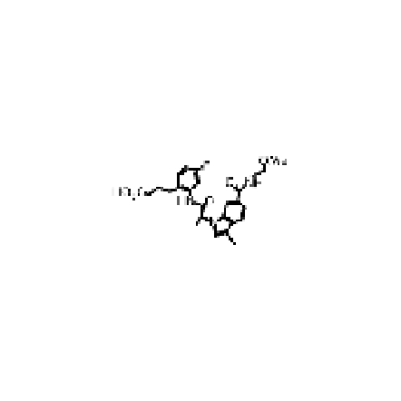 COCCNC(=O)c1ccc2c(C)cn(C(C)C(=O)Nc3cc(F)ccc3CCCC(=O)O)c2c1